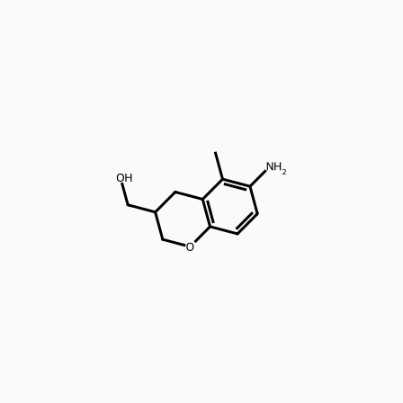 Cc1c(N)ccc2c1CC(CO)CO2